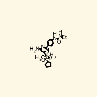 CCNC(=O)Nc1ccc(-c2nc(N)cc(C(C)(C)S(=O)(=O)C3CCCC3)n2)cc1